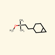 CO[Si](C)(C)CCC1CCC2CC2C1